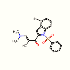 CCc1cccc2c1cc(C(=O)C(C#N)=CN(C)C)n2S(=O)(=O)c1ccccc1